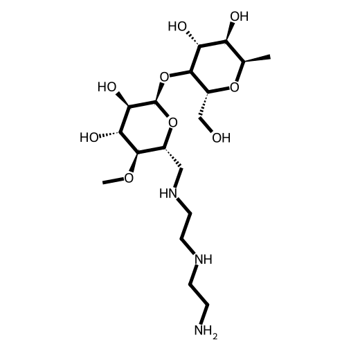 CO[C@H]1[C@H](O)[C@@H](O)[C@@H](OC2[C@@H](CO)O[C@H](C)[C@H](O)[C@H]2O)O[C@@H]1CNCCNCCN